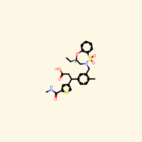 CC[C@@H]1CN(Cc2cc(C(CC(=O)O)c3csc(C(=O)NC)c3)ccc2C)S(=O)(=O)c2ccccc2O1